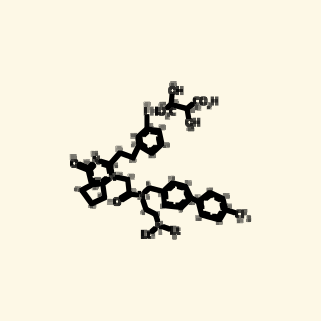 CCN(CC)CCN(Cc1ccc(-c2ccc(C(F)(F)F)cc2)cc1)C(=O)Cn1c(CCc2cccc(F)c2)nc(=O)c2c1CCC2.O=C(O)C(O)C(O)C(=O)O